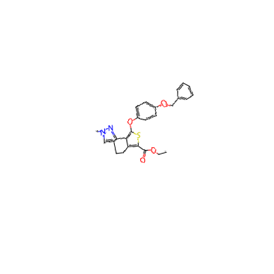 CCOC(=O)c1sc(Oc2ccc(OCc3ccccc3)cc2)c2c1CCc1cn(C)nc1-2